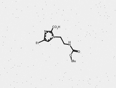 CCc1cn(CCNC(=O)OC(C)(C)C)c(C(=O)O)n1